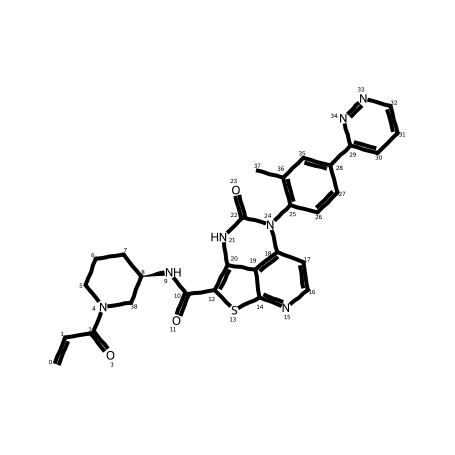 C=CC(=O)N1CCC[C@@H](NC(=O)c2sc3nccc4c3c2NC(=O)N4c2ccc(-c3cccnn3)cc2C)C1